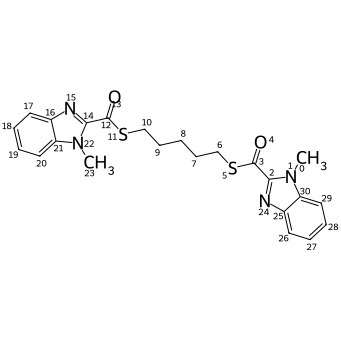 Cn1c(C(=O)SCCCCCSC(=O)c2nc3ccccc3n2C)nc2ccccc21